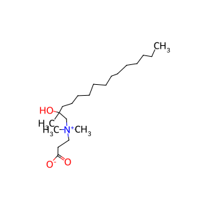 CCCCCCCCCCCCCC(C)(O)C[N+](C)(C)CCC(=O)[O-]